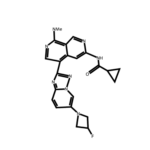 CNc1ncc(-c2nc3ccc(N4CC(F)C4)cn3n2)c2cc(NC(=O)C3CC3)ncc12